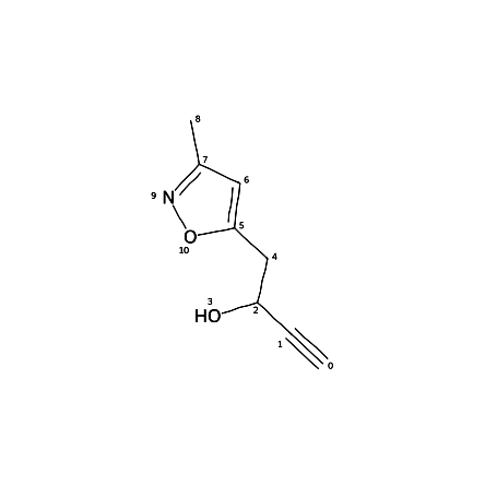 C#CC(O)Cc1cc(C)no1